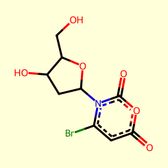 O=c1cc(Br)n(C2CC(O)C(CO)O2)c(=O)o1